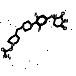 NC(=O)ON1CCC(CN2CCN(c3c(F)cc(NC4CCC(=O)NC4=O)cc3F)CC2)CC1